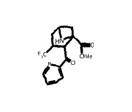 COC(=O)C12CC(CC(C(F)(F)F)C1C(=O)c1ccccn1)N2